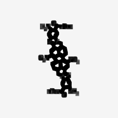 CCCCCCCCCCC(=O)c1cc2c(cc1N)nc1n2Cc2ccc3c4c([N+](=O)[O-])cc5c6c(ccc(c7c([N+](=O)[O-])cc-1c2c37)c64)Cn1c-5nc2cc(N)c(C(=O)CCCCCCCCCC)cc21